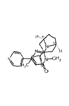 COC(=O)N1C[C@H]2CC[C@@H](C1)N2c1nc(-c2ccncc2)cc(=O)n1C